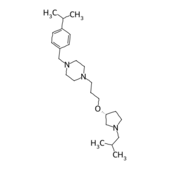 CC(C)CN1CC[C@@H](OCCCN2CCN(Cc3ccc(C(C)C)cc3)CC2)C1